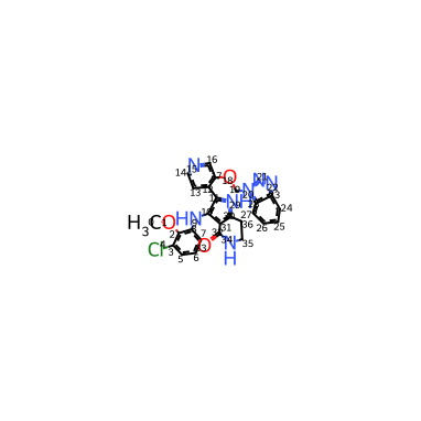 COc1c(Cl)cccc1Nc1c(-c2ccncc2OCn2nnc3ccccc32)[nH]c2c1C(=O)NCC2